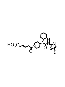 O=C(O)CC=CCC(=O)N1CCC(N(C(=O)Nc2ncc(Cl)s2)C2CCCCC2)CC1